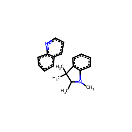 CC1N(C)c2ccccc2C1(C)C.c1ccc2ncccc2c1